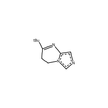 CC(C)(C)C1=Nc2cncn2CC1